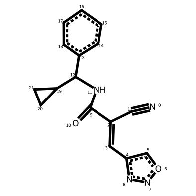 N#C/C(=C\c1conn1)C(=O)NC(c1ccccc1)C1CC1